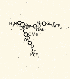 COc1cc(/C=C/C(=O)CC(Cc2ccc(N)cc2)C(O)(O)C(=O)/C=C/c2ccc(OC(=O)c3ccc(OCCCC(F)(F)C(F)(F)F)cc3)c(OC)c2)ccc1OC(=O)c1ccc(OCCCC(F)(F)C(F)(F)F)cc1